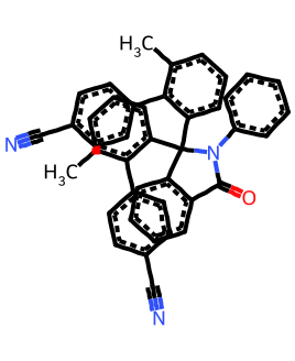 Cc1cccc(C2(c3cccc(C)c3-c3ccc(C#N)cc3)c3ccccc3C(=O)N2c2ccccc2)c1-c1ccc(C#N)cc1